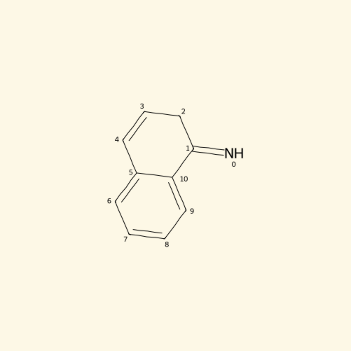 N=C1CC=Cc2ccccc21